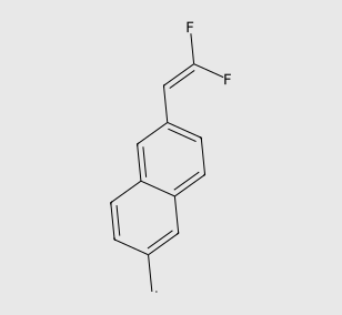 [CH2]c1ccc2cc(C=C(F)F)ccc2c1